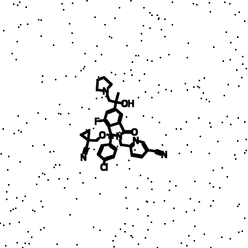 CC(O)(CN1CCCC1)c1cc(F)c2c(c1)C(=O)N(Cc1ccc(C#N)cn1)[C@@]2(OCC1(C#N)CC1)c1ccc(Cl)cc1